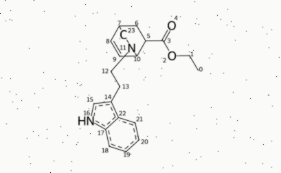 CCOC(=O)C1CC2C=CC1N(CCc1c[nH]c3ccccc13)C2